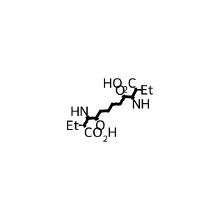 CC[C@@H](C(=N)C(=O)CCCCC(=O)C(=N)[C@H](CC)C(=O)O)C(=O)O